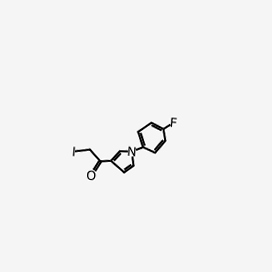 O=C(CI)c1ccn(-c2ccc(F)cc2)c1